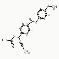 CC#CC(CC(=O)O)c1ccc(OCc2ccc(CO)cc2)cc1